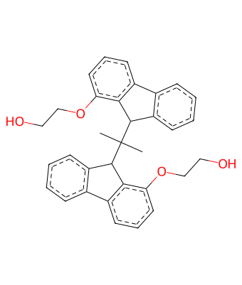 CC(C)(C1c2ccccc2-c2cccc(OCCO)c21)C1c2ccccc2-c2cccc(OCCO)c21